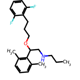 CCCNCC(OCCCc1c(F)cccc1F)c1c(C)cccc1C